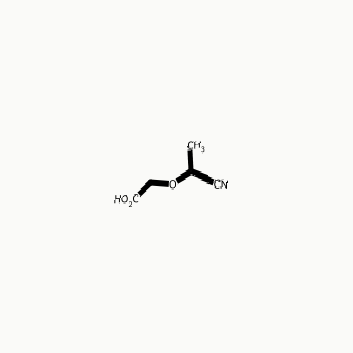 CC(C#N)OCC(=O)O